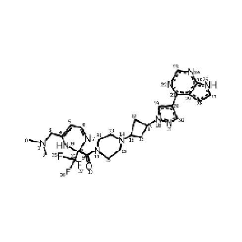 CN(C)CC1=CC=NC(C(=O)N2CCN(C3C[C](n4cc(-c5ncnc6[nH]ccc56)cn4)C3)CC2)(C(F)(F)F)N1